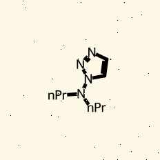 CCCN(CCC)n1c[c]nn1